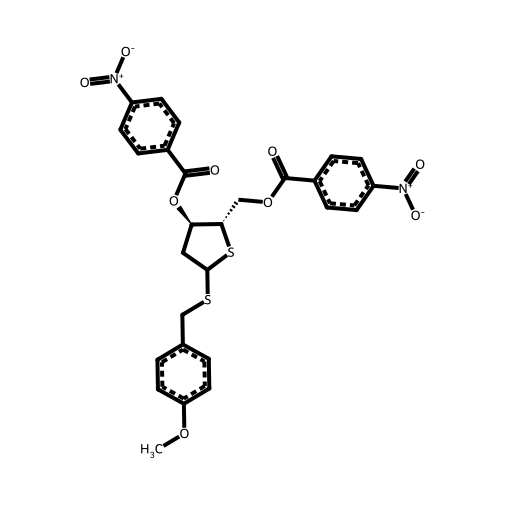 COc1ccc(CSC2C[C@@H](OC(=O)c3ccc([N+](=O)[O-])cc3)[C@H](COC(=O)c3ccc([N+](=O)[O-])cc3)S2)cc1